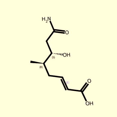 C[C@H](C/C=C/C(=O)O)[C@@H](O)CC(N)=O